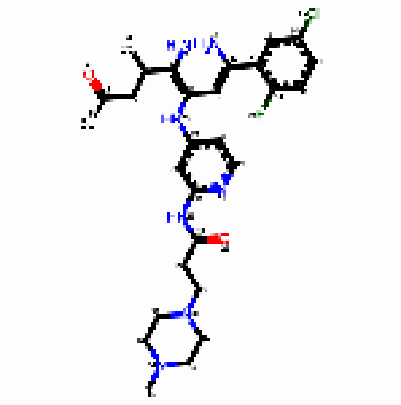 CCC(CC(=O)[C@H](C)CC)/C(N)=C(/C=C(\N)c1cc(Cl)ccc1F)Nc1ccnc(NC(=O)CCN2CCN(C)CC2)c1